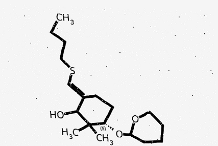 CCCCSC=C1CC[C@H](OC2CCCCO2)C(C)(C)C1O